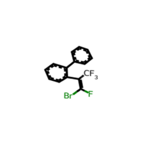 FC(Br)=C(c1ccccc1-c1ccccc1)C(F)(F)F